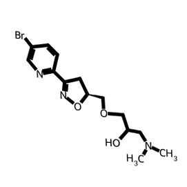 CN(C)CC(O)COC[C@@H]1CC(c2ccc(Br)cn2)=NO1